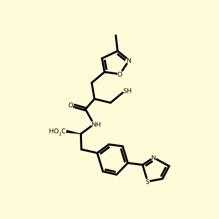 Cc1cc(CC(CS)C(=O)N[C@@H](Cc2ccc(-c3nccs3)cc2)C(=O)O)on1